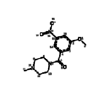 COc1cc(C(=O)N2CCN(C)CC2)cc([N+](=O)[O-])c1